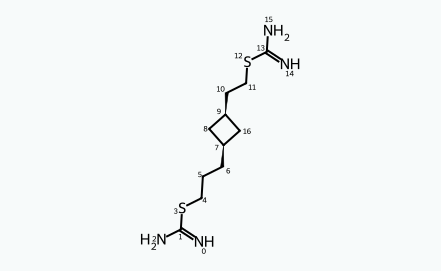 N=C(N)SCCC[C@H]1C[C@@H](CCSC(=N)N)C1